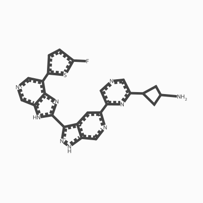 NC1CC(c2cncc(-c3cc4c(-c5nc6c(-c7ccc(F)s7)cncc6[nH]5)n[nH]c4cn3)n2)C1